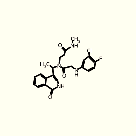 CNC(=O)CCN(C(=O)CNc1ccc(F)c(Cl)c1)C(C)c1c[nH]c(=O)c2ccccc12